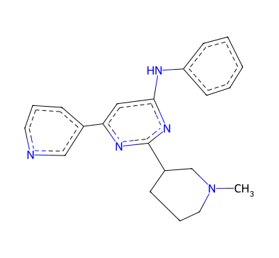 CN1CCCC(c2nc(Nc3ccccc3)cc(-c3cccnc3)n2)C1